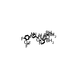 BC(B)(B)OC(B)(B)c1ccnc(OCc2cn(-c3ccc(F)c(OC(F)F)c3)nn2)n1